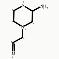 NC1CN(CC=O)CCS1